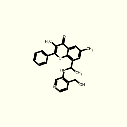 Cc1cc(C(C)Nc2cnccc2CO)c2oc(-c3ccccc3)c(C)c(=O)c2c1